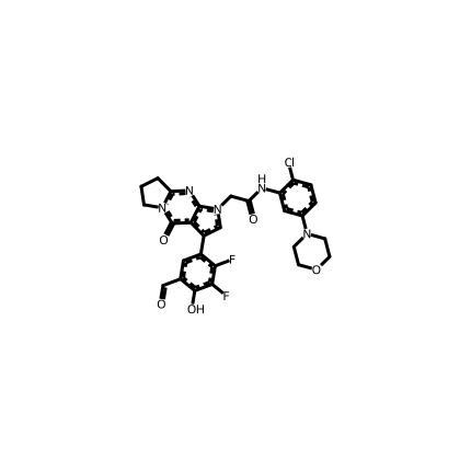 O=Cc1cc(-c2cn(CC(=O)Nc3cc(N4CCOCC4)ccc3Cl)c3nc4n(c(=O)c23)CCC4)c(F)c(F)c1O